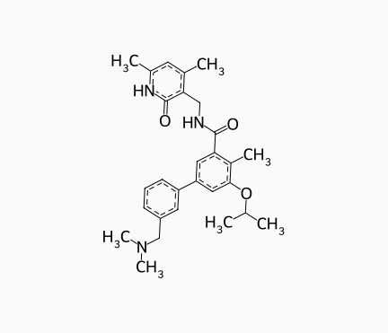 Cc1cc(C)c(CNC(=O)c2cc(-c3cccc(CN(C)C)c3)cc(OC(C)C)c2C)c(=O)[nH]1